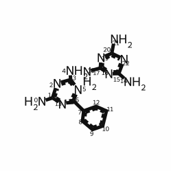 Nc1nc(N)nc(-c2ccccc2)n1.Nc1nc(N)nc(N)n1